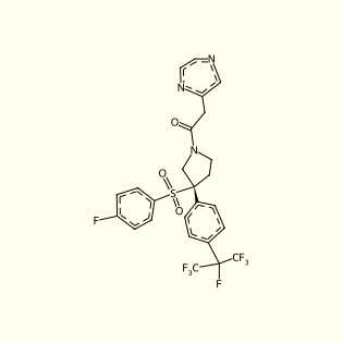 O=C(Cc1cnccn1)N1CC[C@](c2ccc(C(F)(C(F)(F)F)C(F)(F)F)cc2)(S(=O)(=O)c2ccc(F)cc2)C1